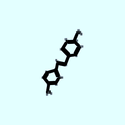 Cc1ccc(N=Cc2cnc(C)nc2)nc1